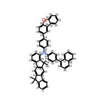 CC1(C)c2ccccc2-c2cc3c(cc21)-c1cccc(N(c2ccc(-c4ccc5oc6ccccc6c5c4)cc2)c2ccc(-c4cccc5ccccc45)cc2)c1C3(C)C